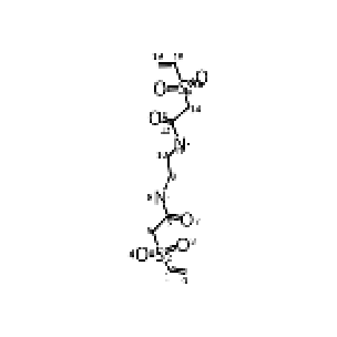 C=CS(=O)(=O)CC(=O)[N]CC[N]C(=O)CS(=O)(=O)C=C